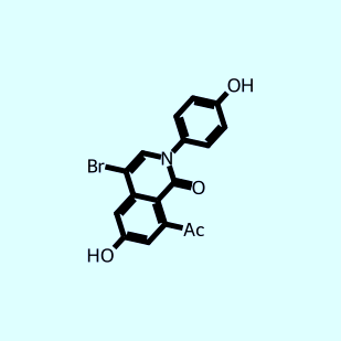 CC(=O)c1cc(O)cc2c(Br)cn(-c3ccc(O)cc3)c(=O)c12